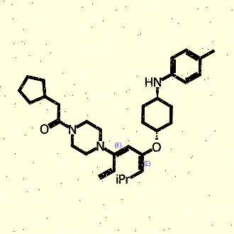 C=C/C(=C\C(=C/C(C)C)O[C@H]1CC[C@H](Nc2ccc(C)cc2)CC1)N1CCN(C(=O)CC2CCCC2)CC1